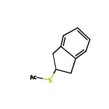 CC(=O)SC1Cc2ccccc2C1